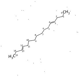 [CH2]CCC=CCCCCCCCC=CCC